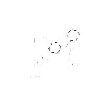 CN(C)CCN1c2ccccc2Sc2ccc(CC(=S)N3CCOCC3)cc21.Cl